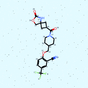 N#Cc1cc(C(F)(F)F)ccc1OCC1CCN(C(=O)C2CC3(COC(=O)N3)C2)CC1